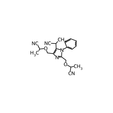 CC(C#N)OCc1nc(COC(C)C#N)n(-c2ccccc2)c1C(C)C#N